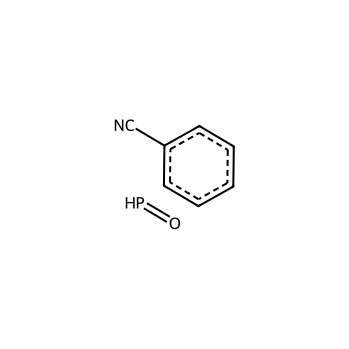 N#Cc1ccccc1.O=P